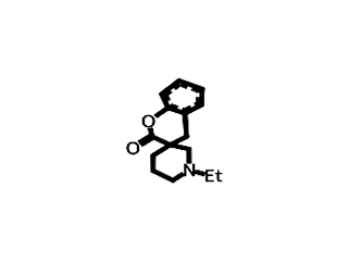 CCN1CCCC2(Cc3ccccc3OC2=O)C1